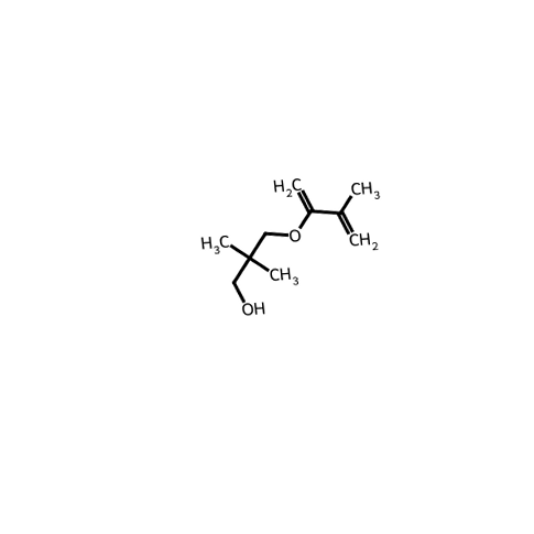 C=C(C)C(=C)OCC(C)(C)CO